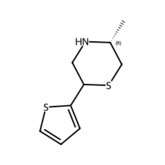 C[C@@H]1CSC(c2cccs2)CN1